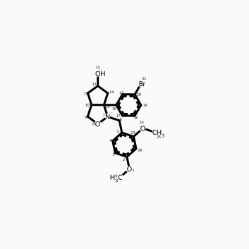 COc1ccc(CN2OCC3CC(O)CC32c2cccc(Br)c2)c(OC)c1